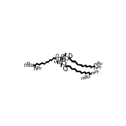 CCCCC(CCC)CCCCCCCCCC(=O)OC(C)OP(=O)(OC(C)OC(=O)CCCCCCCCCC(CCC)CCCC)OC(C)OC(=O)CCCCCCCCCC(CCC)CCCC